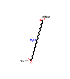 CCCCCCCOC(=O)CCCCCCCCCC(N)CCCCCCCCCC(=O)OCCCCCCC